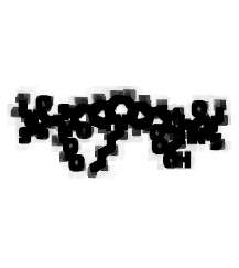 CCCCCCN1c2ccc(/C=c3/s/c(=C4/NC(=S)N(CC)C4=O)n(CC(=O)O)c3=O)cc2CCc2cc(/C=c3/s/c(=C4/SC(=S)N(CC)C4=O)n(COC=O)c3=O)ccc21